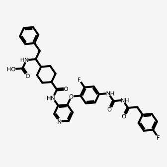 O=C(O)NC(Cc1ccccc1)C1CCC(C(=O)Nc2cnccc2Oc2ccc(NC(=O)NC(=O)Cc3ccc(F)cc3)cc2F)CC1